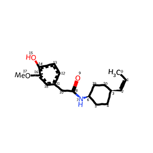 C/C=C\[C@H]1CC[C@@H](NC(=O)Cc2ccc(O)c(OC)c2)CC1